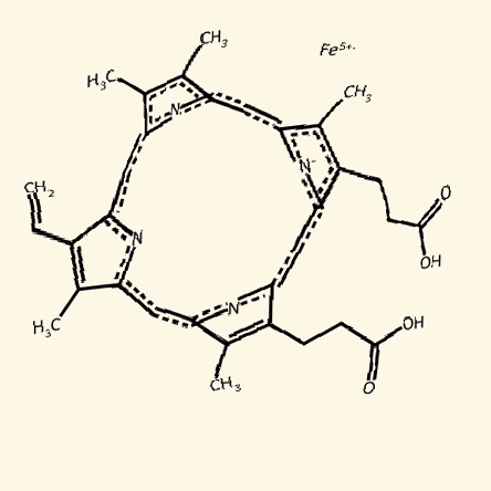 C=CC1=C(C)c2cc3nc(cc4[n-]c(cc5[n-]c(cc1n2)c(C)c5C)c(C)c4CCC(=O)O)C(CCC(=O)O)=C3C.[Fe+5]